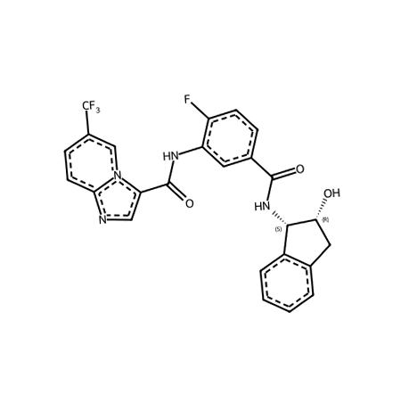 O=C(N[C@H]1c2ccccc2C[C@H]1O)c1ccc(F)c(NC(=O)c2cnc3ccc(C(F)(F)F)cn23)c1